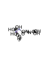 O=C(CCC/C=C\C[C@@H]1[C@@H](/C=C/[C@@H](O)COc2cccc(C(F)(F)F)c2)[C@H](O)C[C@@H]1O)OCCN1CCN(CCCON(O)O)CC1